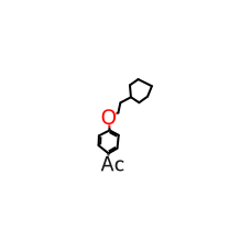 CC(=O)c1ccc(OCCC2CCCCC2)cc1